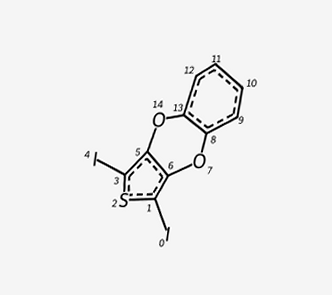 Ic1sc(I)c2c1Oc1ccccc1O2